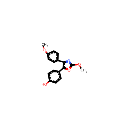 COc1ccc(-c2nc(OC)oc2-c2ccc(O)cc2)cc1